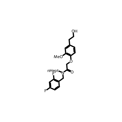 CCCCCCCN(Cc1ccc(F)cc1F)C(=O)COc1ccc(CCO)cc1OC